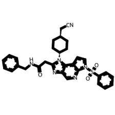 N#CC[C@H]1CC[C@H](n2c(CC(=O)NCc3ccccc3)nc3cnc4c(ccn4S(=O)(=O)c4ccccc4)c32)CC1